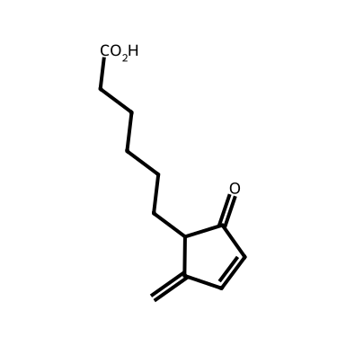 C=C1C=CC(=O)C1CCCCCC(=O)O